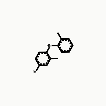 Cc1ccccc1Nc1ccc(Br)cc1C